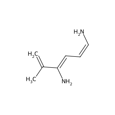 C=C(C)/C(N)=C/C=C\N